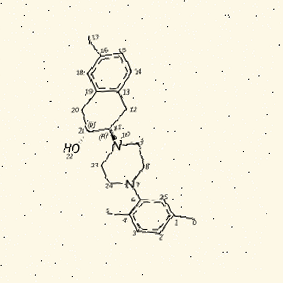 Cc1ccc(C)c(N2CCN([C@@H]3Cc4ccc(I)cc4C[C@H]3O)CC2)c1